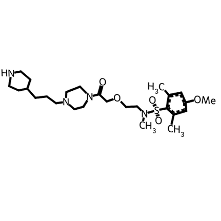 COc1cc(C)c(S(=O)(=O)N(C)CCOCC(=O)N2CCN(CCCC3CCNCC3)CC2)c(C)c1